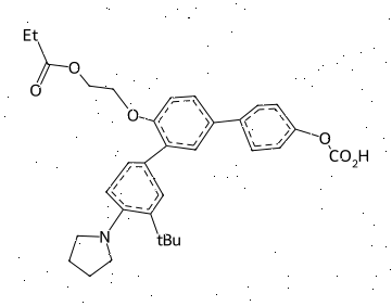 CCC(=O)OCCOc1ccc(-c2ccc(OC(=O)O)cc2)cc1-c1ccc(N2CCCC2)c(C(C)(C)C)c1